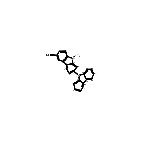 Cn1c2ccc(C#N)cc2c2ccc(-n3c4ccccc4c4ccccc43)cc21